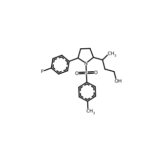 Cc1ccc(S(=O)(=O)N2C(c3ccc(F)cc3)CCC2C(C)CCO)cc1